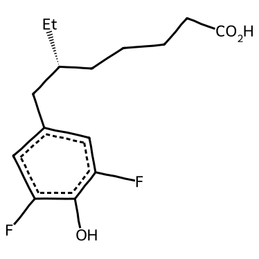 CC[C@H](CCCCC(=O)O)Cc1cc(F)c(O)c(F)c1